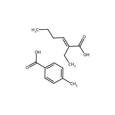 CCC/C=C(\CC)C(=O)O.Cc1ccc(C(=O)O)cc1